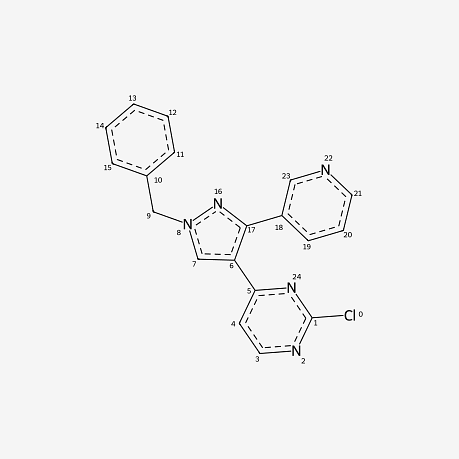 Clc1nccc(-c2cn(Cc3ccccc3)nc2-c2cccnc2)n1